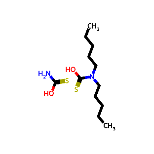 CCCCCN(CCCCC)C(O)=S.NC(O)=S